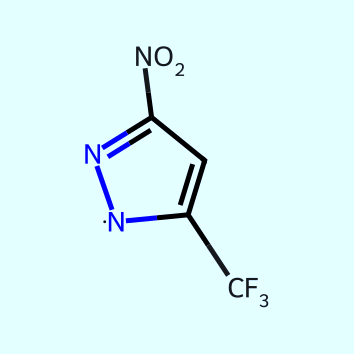 O=[N+]([O-])C1=N[N]C(C(F)(F)F)=C1